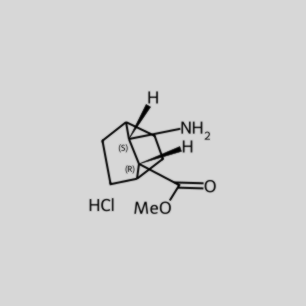 COC(=O)[C@@H]1C2CCC(CC2)[C@@H]1N.Cl